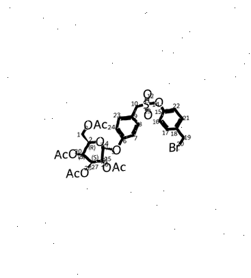 CC(=O)OC[C@H]1O[C@@H](Oc2ccc(CS(=O)(=O)Oc3ccc(CBr)cc3)cc2)[C@H](OC(C)=O)[C@@H](OC(C)=O)[C@H]1OC(C)=O